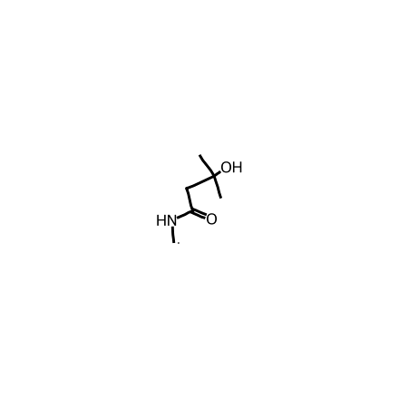 [CH2]NC(=O)CC(C)(C)O